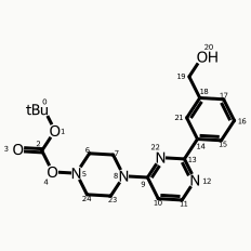 CC(C)(C)OC(=O)ON1CCN(c2ccnc(-c3cccc(CO)c3)n2)CC1